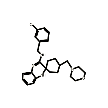 Clc1cccc(CNC2=Nc3ccccc3NC23CCC(CN2CCOCC2)CC3)c1